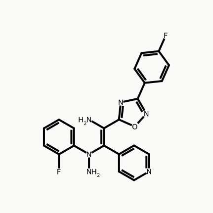 N/C(=C(/c1ccncc1)N(N)c1ccccc1F)c1nc(-c2ccc(F)cc2)no1